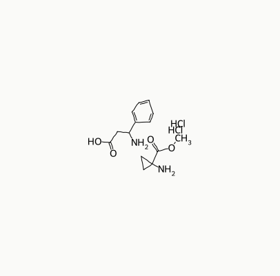 COC(=O)C1(N)CC1.Cl.Cl.NC(CC(=O)O)c1ccccc1